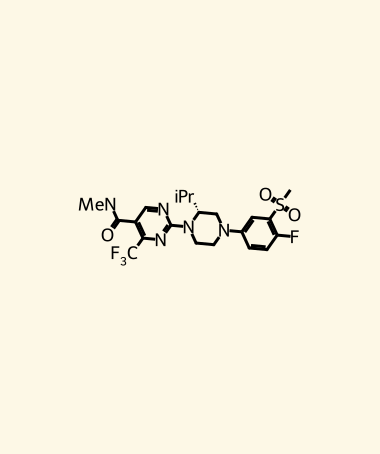 CNC(=O)c1cnc(N2CCN(c3ccc(F)c(S(C)(=O)=O)c3)C[C@H]2C(C)C)nc1C(F)(F)F